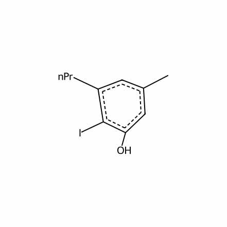 CCCc1cc(C)cc(O)c1I